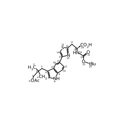 CC(=O)OCC(C)(C)Cc1c[nH]c2ccc(-c3csc(C[C@H](NC(=O)OC(C)(C)C)C(=O)O)n3)cc12